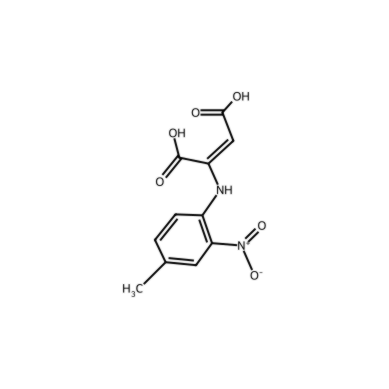 Cc1ccc(NC(=CC(=O)O)C(=O)O)c([N+](=O)[O-])c1